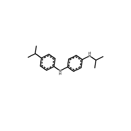 CC(C)Nc1ccc(Nc2ccc(C(C)C)cc2)cc1